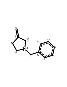 C=C1CCN(Cc2ccccc2)C1